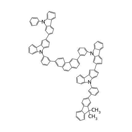 CC1(C)c2ccccc2-c2ccc(-c3cccc(-n4c5ccccc5c5cc(-c6ccc7c8ccccc8n(-c8cccc(-c9ccc%10ccc%11cc(-c%12cccc(-n%13c%14ccccc%14c%14cc(-c%15ccc%16c%17ccccc%17n(-c%17ccccc%17)c%16c%15)ccc%14%13)c%12)ccc%11c%10c9)c8)c7c6)ccc54)c3)cc21